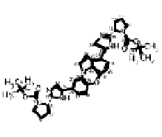 CC(C)(C)OC(=O)N1CCC[C@H]1c1ncc(-c2ccc3c(c2)-n2ccc4c(-c5cnc([C@@H]6CCCN6C(=O)OC(C)(C)C)[nH]5)ccc(c42)O3)[nH]1